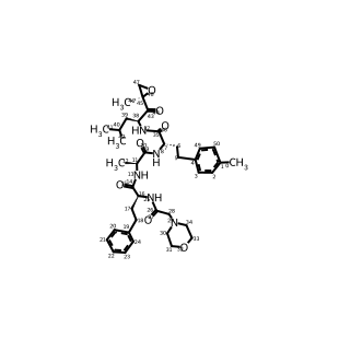 Cc1ccc(CC[C@H](NC(=O)[C@H](C)NC(=O)[C@H](CCc2ccccc2)NC(=O)CN2CCOCC2)C(=O)N[C@@H](CC(C)C)C(=O)[C@@]2(C)CO2)cc1